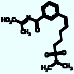 C/C(=N\C(=O)c1cccc(/C=C\CCCS(=O)(=O)N(C)C)c1)C(=O)O